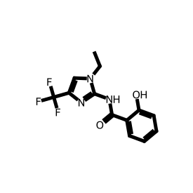 CCn1cc(C(F)(F)F)nc1NC(=O)c1ccccc1O